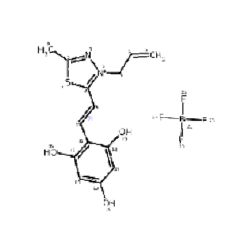 C=CC[n+]1nc(C)sc1/C=C/c1c(O)cc(O)cc1O.F[B-](F)(F)F